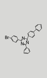 Brc1ccc(-c2nc(-c3ccccc3)nc(-c3ccc(-c4ccccc4)cc3)n2)cc1